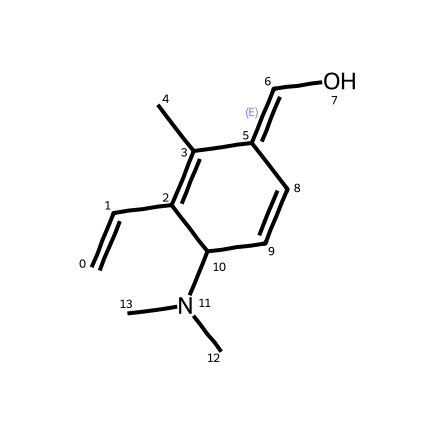 C=CC1=C(C)/C(=C/O)C=CC1N(C)C